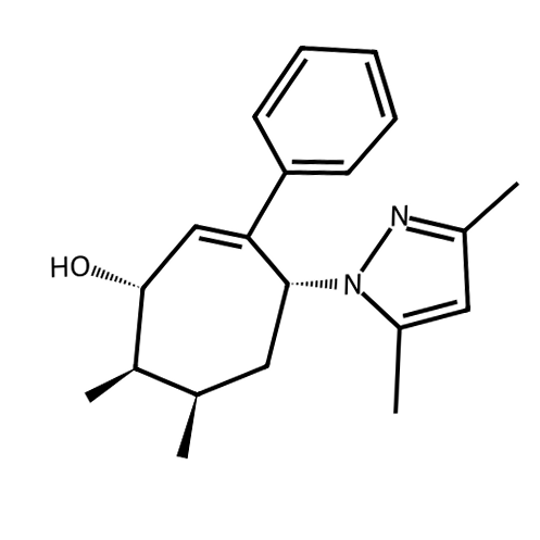 Cc1cc(C)n([C@@H]2C[C@@H](C)[C@@H](C)[C@H](O)C=C2c2ccccc2)n1